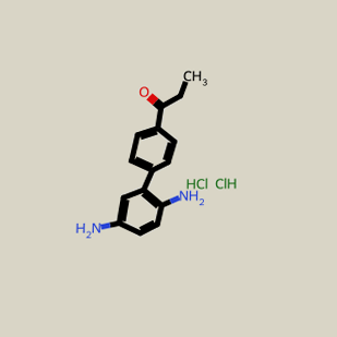 CCC(=O)c1ccc(-c2cc(N)ccc2N)cc1.Cl.Cl